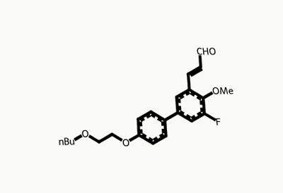 CCCCOCCOc1ccc(-c2cc(F)c(OC)c(/C=C/C=O)c2)cc1